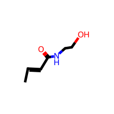 CC=CC(=O)NCCO